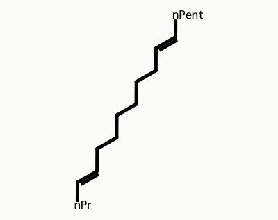 [CH2]CCC=CCCCCCCC=CCCCCC